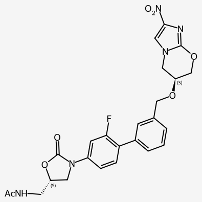 CC(=O)NC[C@H]1CN(c2ccc(-c3cccc(CO[C@@H]4COc5nc([N+](=O)[O-])cn5C4)c3)c(F)c2)C(=O)O1